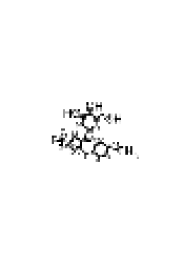 COc1ccc(Cc2sc(C(F)(F)F)cc2O[C@@H]2C[C@H](CO)[C@@H](O)[C@H](O)C2)cc1